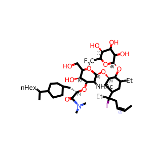 C/C=C\CC(I)(CC)C1CC(CC)C(O[C@@H]2OC(C(F)(F)F)[C@@H](O)C(O)C2O)[C@H](O[C@@H]2OC(CO)[C@H](O)C(O[C@@H](CC3CCC(C(C)CCCCCC)CC3)C(=O)N(C)C)C2NC(C)=O)C1